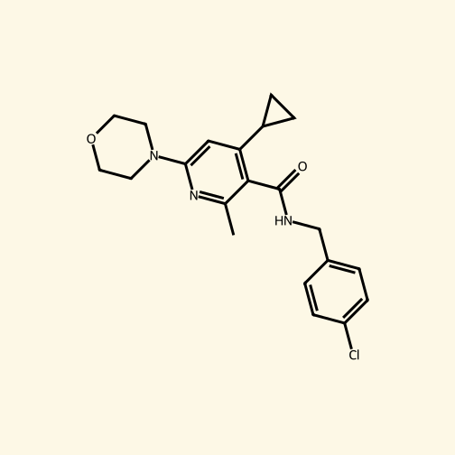 Cc1nc(N2CCOCC2)cc(C2CC2)c1C(=O)NCc1ccc(Cl)cc1